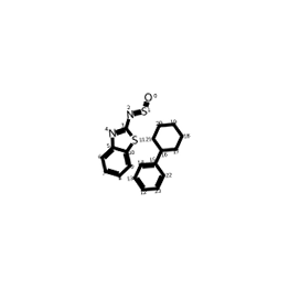 O=S=Nc1nc2ccccc2s1.c1ccc(C2CCCCC2)cc1